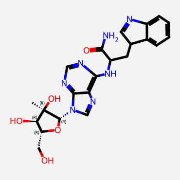 C[C@@]1(O)[C@H](O)[C@@H](CO)O[C@H]1n1cnc2c(NC(CC3C=Nc4ccccc43)C(N)=O)ncnc21